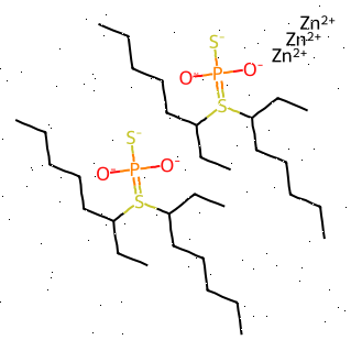 CCCCCC(CC)S(C(CC)CCCCC)=P([O-])([O-])[S-].CCCCCC(CC)S(C(CC)CCCCC)=P([O-])([O-])[S-].[Zn+2].[Zn+2].[Zn+2]